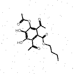 CCCCOC(=O)c1c(C(C)=O)c(O)c(O)c(OC(C)=O)c1C(C)=O